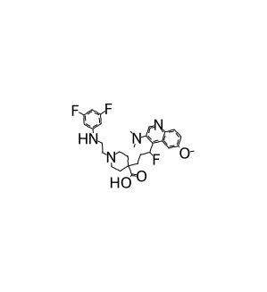 COc1ccc2ncc(N(C)C)c(C(F)CCC3(C(=O)O)CCN(CCNc4cc(F)cc(F)c4)CC3)c2c1